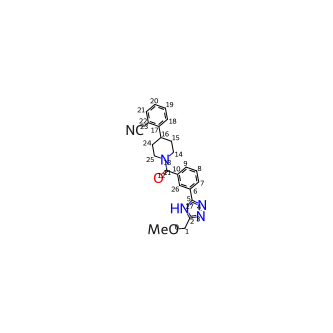 COCc1nnc(-c2cccc(C(=O)N3CCC(c4ccccc4C#N)CC3)c2)[nH]1